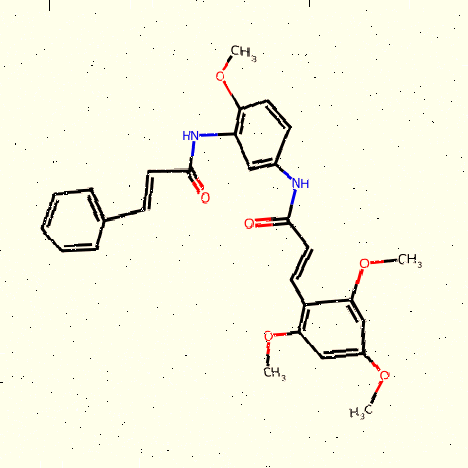 COc1cc(OC)c(C=CC(=O)Nc2ccc(OC)c(NC(=O)C=Cc3ccccc3)c2)c(OC)c1